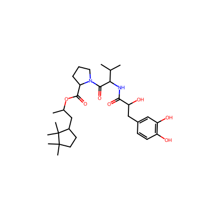 CC(CC1CCC(C)(C)C1(C)C)OC(=O)C1CCCN1C(=O)C(NC(=O)C(O)Cc1ccc(O)c(O)c1)C(C)C